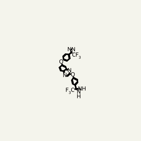 FC(F)(F)C1(c2ccc(Oc3ccc4ncc(Oc5ccc(C6(C(F)(F)F)NN6)cc5)nc4c3)cc2)N=N1